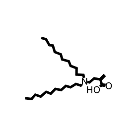 C=C(CCN(CCCCCCCCCCCC)CCCCCCCCCCCC)C(=O)O